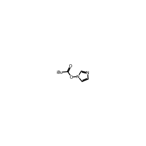 CCC(C)C(=O)On1ccnc1